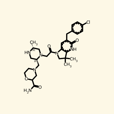 C[C@@H]1CN(CC(=O)N2CC(C)(C)c3[nH]c(=O)c(Cc4ccc(Cl)cc4)cc32)[C@@H](CN2CCOC(C(N)=O)C2)CN1